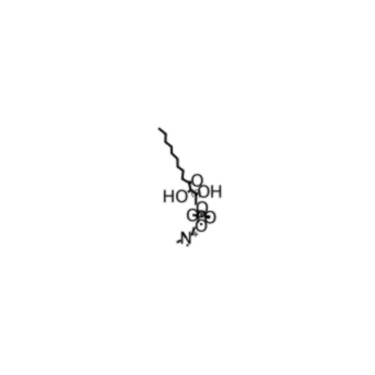 CCCCCCCCCC(=O)C(O)[C@@H](O)COP(=O)([O-])OCC[N+](C)(C)C